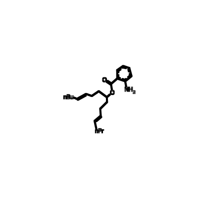 CCCC=CCCC(CCC=CCCCC)OC(=O)c1ccccc1N